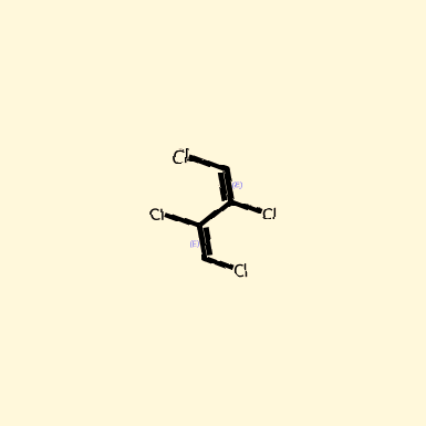 Cl/C=C(Cl)\C(Cl)=C/Cl